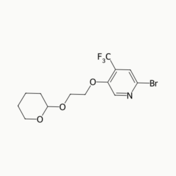 FC(F)(F)c1cc(Br)ncc1OCCOC1CCCCO1